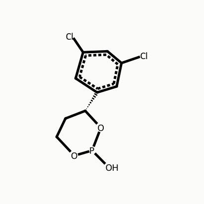 OP1OCC[C@H](c2cc(Cl)cc(Cl)c2)O1